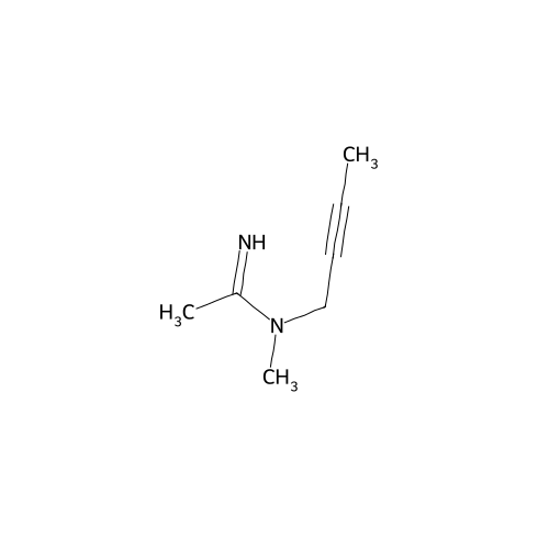 CC#CCN(C)C(C)=N